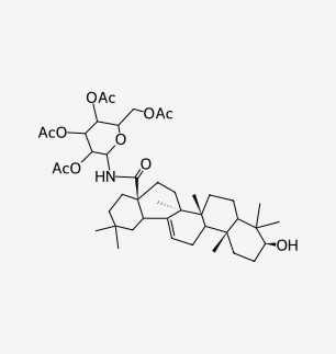 CC(=O)OCC1OC(NC(=O)[C@]23CCC(C)(C)CC2C2=CCC4[C@@]5(C)CC[C@H](O)C(C)(C)C5CC[C@@]4(C)[C@]2(C)CC3)C(OC(C)=O)C(OC(C)=O)C1OC(C)=O